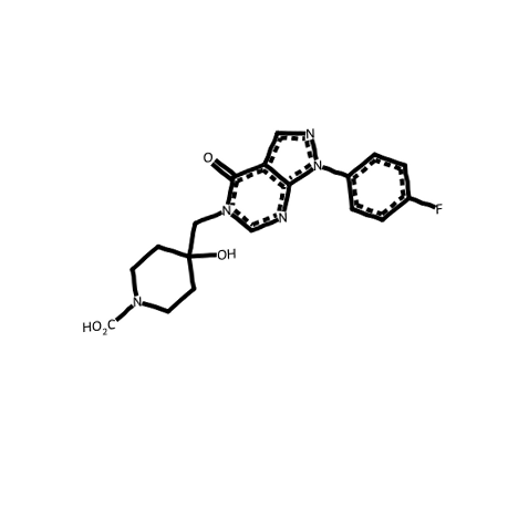 O=C(O)N1CCC(O)(Cn2cnc3c(cnn3-c3ccc(F)cc3)c2=O)CC1